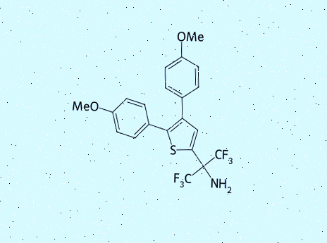 COc1ccc(-c2cc(C(N)(C(F)(F)F)C(F)(F)F)sc2-c2ccc(OC)cc2)cc1